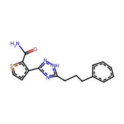 NC(=O)c1sccc1-c1n[nH]c([CH]CCc2ccccc2)n1